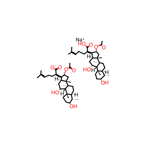 CC(=O)O[C@H]1C[C@@]2(C)[C@@H](C[C@@H](O)[C@H]3[C@@]4(C)CC[C@@H](O)[C@@H](C)[C@@H]4CC[C@@]32C)/C1=C(\CCC=C(C)C)C(=O)O.CC(=O)O[C@H]1C[C@@]2(C)[C@@H](C[C@@H](O)[C@H]3[C@@]4(C)CC[C@@H](O)[C@@H](C)[C@@H]4CC[C@@]32C)/C1=C(\CCC=C(C)C)C(=O)[O-].[Na+]